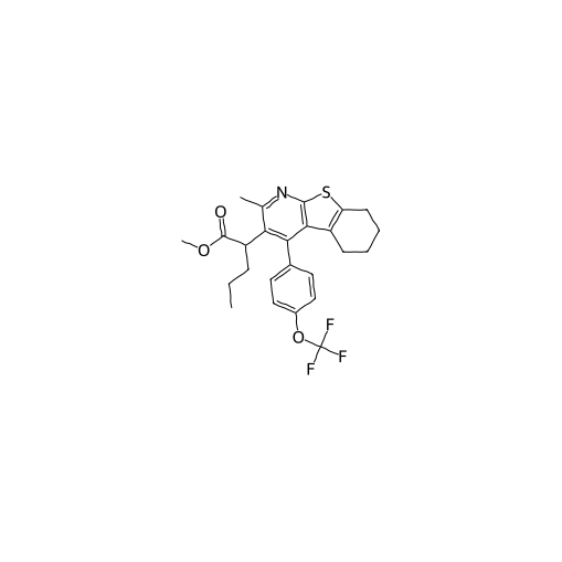 CCCC(C(=O)OC)c1c(C)nc2sc3c(c2c1-c1ccc(OC(F)(F)F)cc1)CCCC3